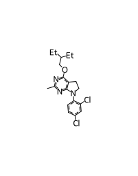 CCC(CC)COc1nc(C)nc2c1CCN2c1ccc(Cl)cc1Cl